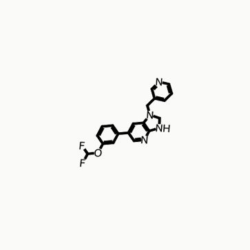 FC(F)Oc1cccc(-c2cnc3c(c2)N(Cc2cccnc2)CN3)c1